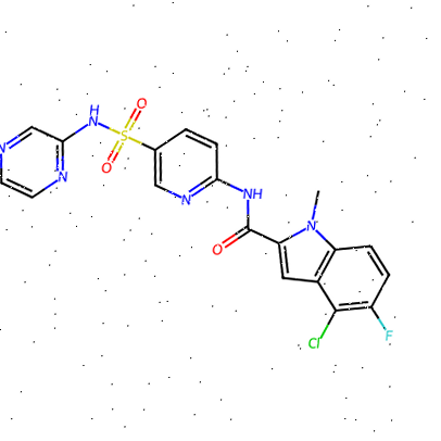 Cn1c(C(=O)Nc2ccc(S(=O)(=O)Nc3cnccn3)cn2)cc2c(Cl)c(F)ccc21